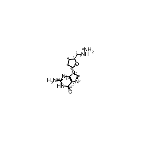 NNC[C@@H]1CC[C@H](n2cnc3c(=O)[nH]c(N)nc32)O1